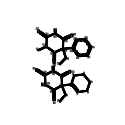 CCC1(C2=CCCCC2)C(=O)NC(=O)NC1=O.CCC1(c2ccccc2)C(=O)NC(=O)N(C)C1=O